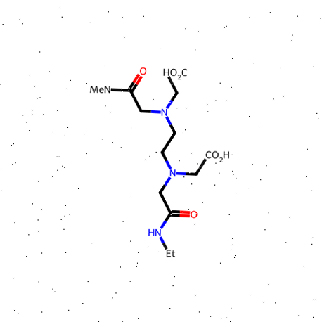 CCNC(=O)CN(CCN(CC(=O)O)CC(=O)NC)CC(=O)O